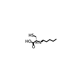 CCCCC=N[C@@H](CS)C(=O)O